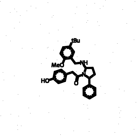 COc1ccc(C(C)(C)C)cc1CNC1CCC(c2ccccc2)N1C(=O)Cc1ccc(O)cc1